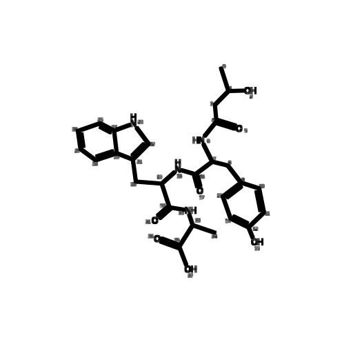 CC(O)CC(=O)NC(Cc1ccc(O)cc1)C(=O)NC(Cc1c[nH]c2ccccc12)C(=O)NC(C)C(=O)O